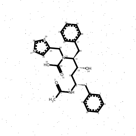 CC(=O)N[C@@H](Cc1ccccc1)C[C@@H](O)[C@H](Cc1ccccc1)N(Cc1cncs1)C(=O)O